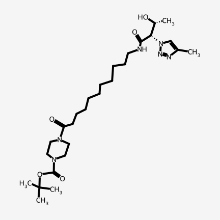 Cc1cn([C@H](C(=O)NCCCCCCCCCCC(=O)N2CCN(C(=O)OC(C)(C)C)CC2)[C@@H](C)O)nn1